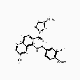 COc1ccc(CNc2c(C(=O)N3CCC(NC(C)=O)C3)cnc3ccc(C#N)cc23)cc1Cl